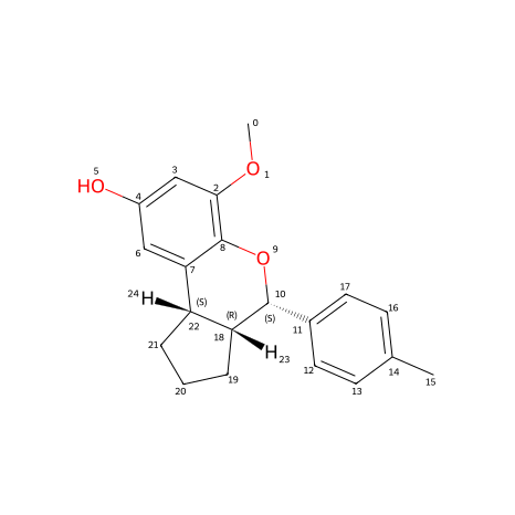 COc1cc(O)cc2c1O[C@H](c1ccc(C)cc1)[C@@H]1CCC[C@H]21